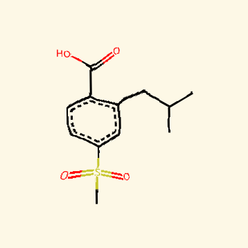 CC(C)Cc1cc(S(C)(=O)=O)ccc1C(=O)O